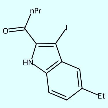 CCCC(=O)c1[nH]c2ccc(CC)cc2c1I